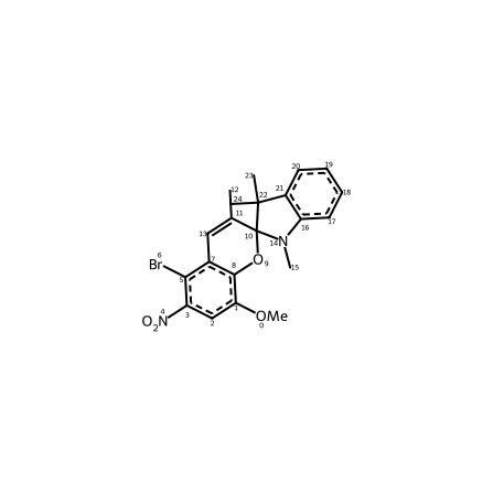 COc1cc([N+](=O)[O-])c(Br)c2c1OC1(C(C)=C2)N(C)c2ccccc2C1(C)C